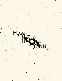 CCNc1cc2cc3oc(N)cc3cc2o1